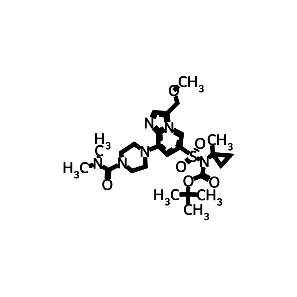 COCc1cnc2c(N3CCN(C(=O)N(C)C)CC3)cc(S(=O)(=O)N(C(=O)OC(C)(C)C)C3(C)CC3)cn12